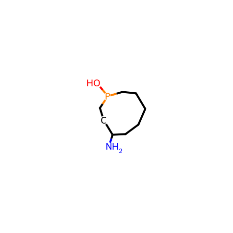 NC1CCCCCP(O)CC1